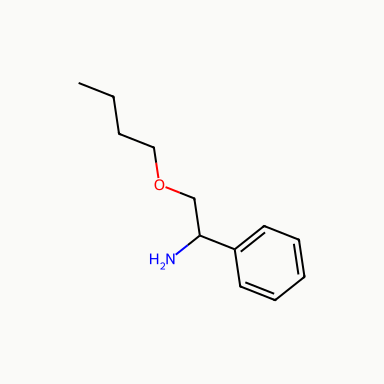 CCCCOCC(N)c1ccccc1